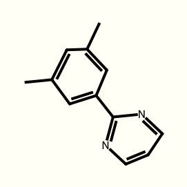 Cc1cc(C)cc(-c2ncccn2)c1